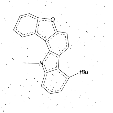 Cn1c2cccc(C(C)(C)C)c2c2ccc3oc4ccccc4c3c21